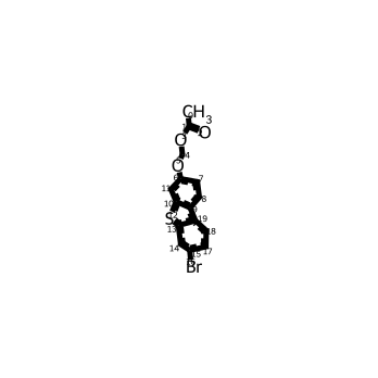 CC(=O)OCOc1ccc2c(c1)sc1cc(Br)ccc12